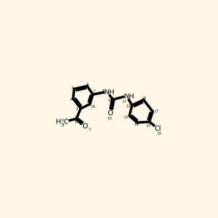 CC(=O)c1cccc(NC(=O)Nc2ccc(Cl)cc2)c1